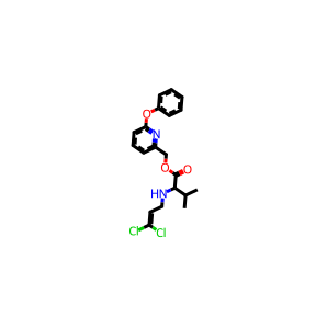 CC(C)C(NCC=C(Cl)Cl)C(=O)OCc1cccc(Oc2ccccc2)n1